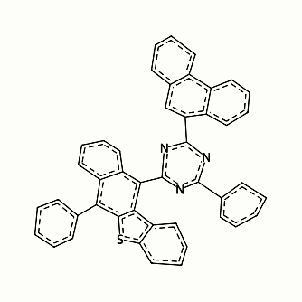 c1ccc(-c2nc(-c3cc4ccccc4c4ccccc34)nc(-c3c4ccccc4c(-c4ccccc4)c4sc5ccccc5c34)n2)cc1